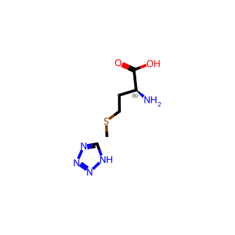 CSCC[C@H](N)C(=O)O.c1nnn[nH]1